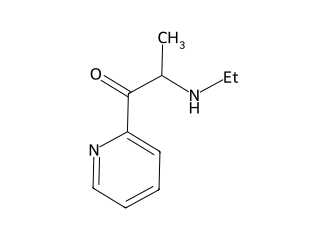 CCNC(C)C(=O)c1ccccn1